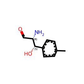 Cc1ccc([C@H](O)[C@@H](N)C=O)cc1